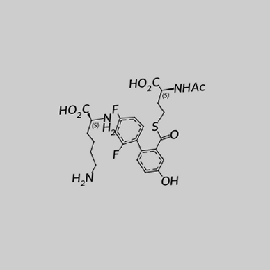 CC(=O)N[C@@H](CCSC(=O)c1cc(O)ccc1-c1ccc(F)cc1F)C(=O)O.NCCCC[C@H](N)C(=O)O